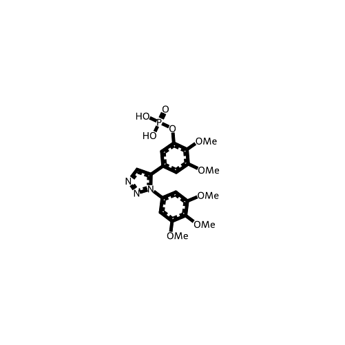 COc1cc(-n2nncc2-c2cc(OC)c(OC)c(OP(=O)(O)O)c2)cc(OC)c1OC